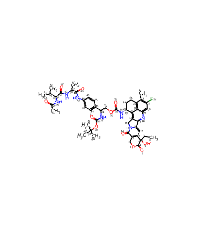 CC[C@]1(O)C(=O)OCc2c1cc1n(c2=O)Cc2c-1nc1cc(F)c(C)c3c1c2[C@H](NC(=O)OCC(NC(=O)OC(C)(C)C)c1ccc(NC(=O)[C@H](C)NC(=O)[C@@H](NC(C)=O)C(C)C)cc1)CC3